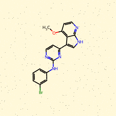 COc1ccnc2[nH]cc(-c3ccnc(Nc4cccc(Br)c4)n3)c12